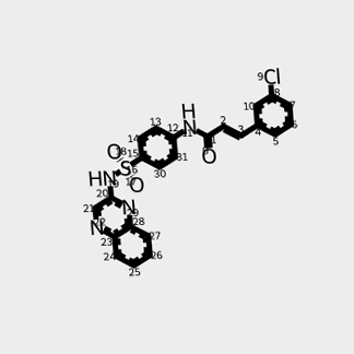 O=C(/C=C/c1cccc(Cl)c1)Nc1ccc(S(=O)(=O)Nc2cnc3ccccc3n2)cc1